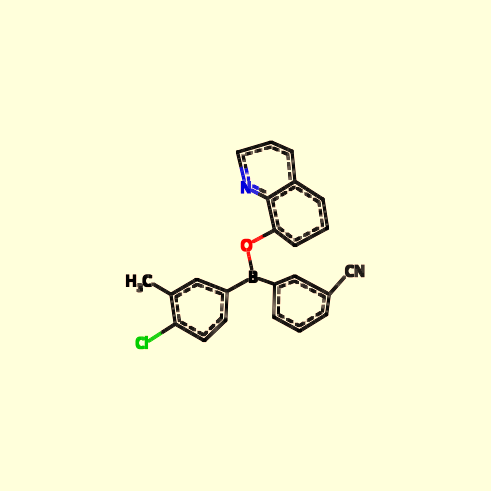 Cc1cc(B(Oc2cccc3cccnc23)c2cccc(C#N)c2)ccc1Cl